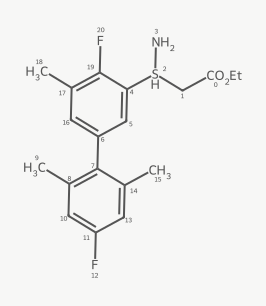 CCOC(=O)C[SH](N)c1cc(-c2c(C)cc(F)cc2C)cc(C)c1F